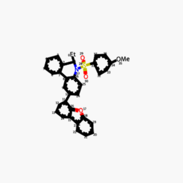 CCC1c2ccccc2-c2cc(-c3cccc4c3oc3ccccc34)ccc2N1S(=O)(=O)c1ccc(OC)cc1